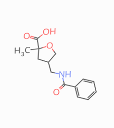 CC1(C(=O)O)CC(CNC(=O)c2ccccc2)CO1